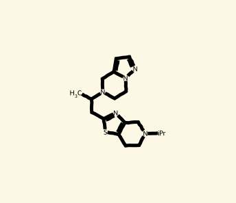 CC(C)N1CCc2sc(CC(C)N3CCn4nccc4C3)nc2C1